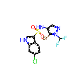 O=S(=O)(Nc1cnn(C(F)F)c1Br)c1c[nH]c2cc(Cl)ccc12